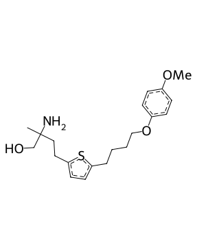 COc1ccc(OCCCCc2ccc(CCC(C)(N)CO)s2)cc1